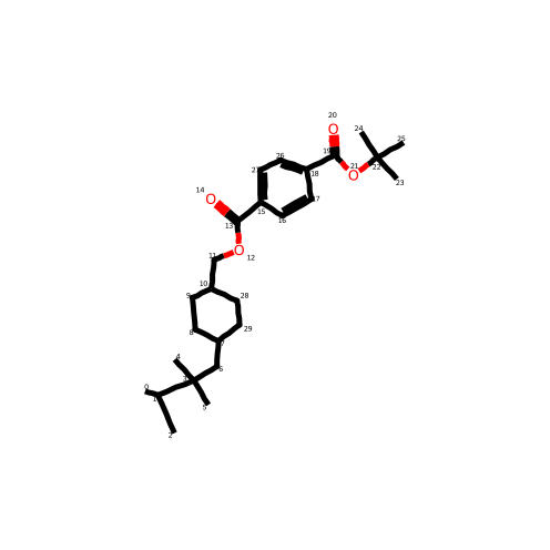 CC(C)C(C)(C)CC1CCC(COC(=O)c2ccc(C(=O)OC(C)(C)C)cc2)CC1